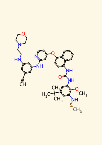 C#Cc1cc(NCCN2CCOCC2)cc(Nc2cc(Oc3ccc(NC(=O)Nc4cc(C(C)(C)C)cc(NSC)c4OC)c4ccccc34)ccn2)c1